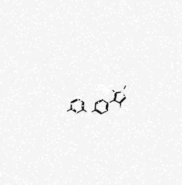 CCOC(=O)c1c(-c2ccc(Oc3cccc(F)c3)cc2)c(C#N)cn1C